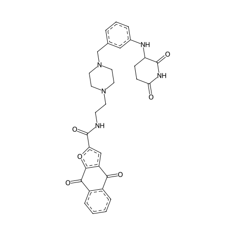 O=C1CCC(Nc2cccc(CN3CCN(CCNC(=O)c4cc5c(o4)C(=O)c4ccccc4C5=O)CC3)c2)C(=O)N1